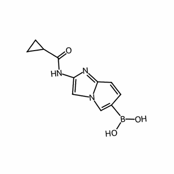 O=C(Nc1cn2cc(B(O)O)ccc2n1)C1CC1